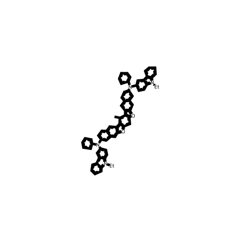 CCn1c2ccccc2c2cc(N(c3ccccc3)c3ccc4cc5c(cc4c3)oc3cc4oc6cc7cc(N(c8ccccc8)c8ccc9c(c8)c8ccccc8n9CC)ccc7cc6c4c(C)c35)ccc21